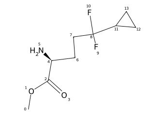 COC(=O)[C@@H](N)CCC(F)(F)C1CC1